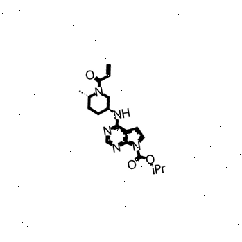 C=CC(=O)N1C[C@@H](Nc2ncnc3c2ccn3C(=O)OC(C)C)CC[C@@H]1C